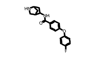 O=C(NC1CC2CC1CN2)c1ccc(Oc2ccc(F)cc2)cc1